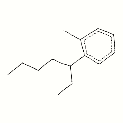 [CH2]c1ccccc1C(CC)CCCC